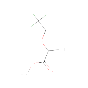 COC(=O)C(C)OCC(F)(F)F